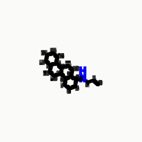 C=CCNc1cccc2c1ccc1c3ccccc3ccc21